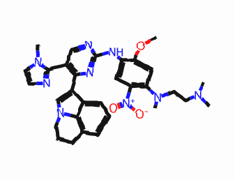 COc1cc(N(C)CCN(C)C)c([N+](=O)[O-])cc1Nc1ncc(-c2nccn2C)c(-c2cn3c4c(cccc24)CCC3)n1